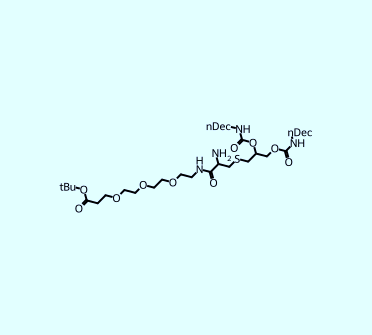 CCCCCCCCCCNC(=O)OCC(CSCC(N)C(=O)NCCOCCOCCOCCC(=O)OC(C)(C)C)OC(=O)NCCCCCCCCCC